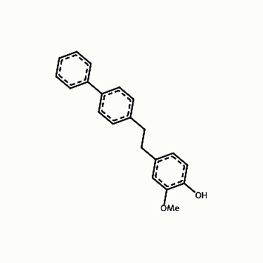 COc1cc(CCc2ccc(-c3ccccc3)cc2)ccc1O